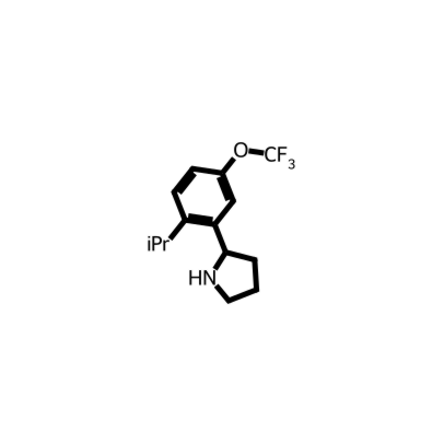 CC(C)c1ccc(OC(F)(F)F)cc1C1CCCN1